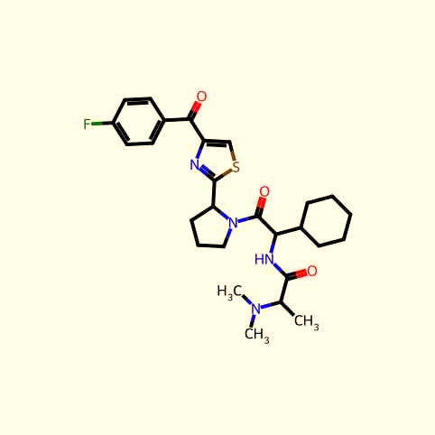 CC(C(=O)NC(C(=O)N1CCCC1c1nc(C(=O)c2ccc(F)cc2)cs1)C1CCCCC1)N(C)C